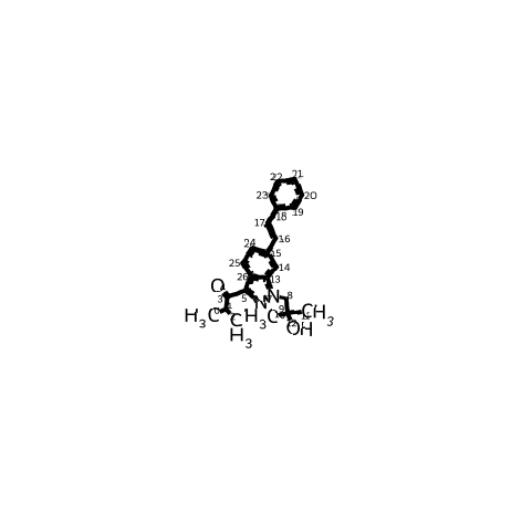 CC(C)C(=O)c1nn(CC(C)(C)O)c2cc(/C=C/c3ccccc3)ccc12